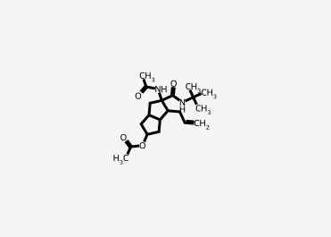 C=CCC1C2CC(OC(C)=O)CC2CC1(NC(C)=O)C(=O)NC(C)(C)C